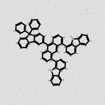 c1ccc(C2(c3ccccc3)c3ccccc3-c3cc(-c4c5cccc(-c6cccc7c6oc6ccccc67)c5cc5c(-c6cccc7c6oc6ccccc67)cccc45)ccc32)cc1